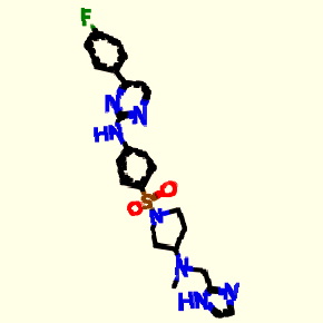 CN(Cc1ncc[nH]1)C1CCN(S(=O)(=O)c2ccc(Nc3nccc(-c4ccc(F)cc4)n3)cc2)CC1